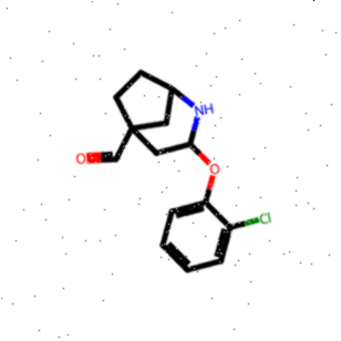 O=[C]C12CCC(C1)NC(Oc1ccccc1Cl)C2